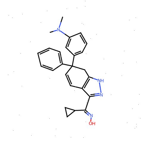 CN(C)c1cccc(C2(c3ccccc3)C=Cc3c(/C(=N/O)C4CC4)n[nH]c3C2)c1